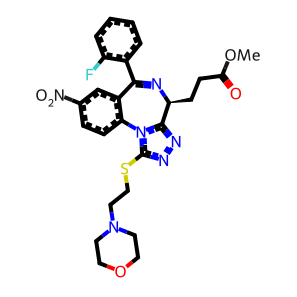 COC(=O)CC[C@@H]1N=C(c2ccccc2F)c2cc([N+](=O)[O-])ccc2-n2c(SCCN3CCOCC3)nnc21